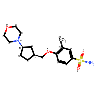 NS(=O)(=O)c1ccc(OC[C@H]2CC[C@@H](N3CCOCC3)C2)c([N+](=O)[O-])c1